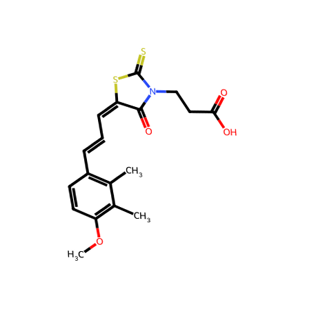 COc1ccc(C=CC=C2SC(=S)N(CCC(=O)O)C2=O)c(C)c1C